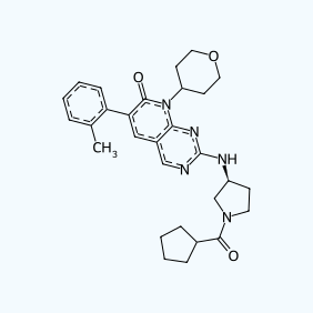 Cc1ccccc1-c1cc2cnc(N[C@H]3CCN(C(=O)C4CCCC4)C3)nc2n(C2CCOCC2)c1=O